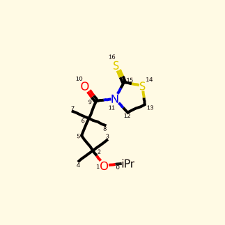 CC(C)OC(C)(C)CC(C)(C)C(=O)N1CCSC1=S